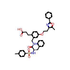 Cc1ccc(S(=O)(=O)N[C@H](Cc2ccccc2)C(=O)NCc2cc(OCCc3nc(-c4ccccc4)oc3C)ccc2CCC(=O)O)cc1